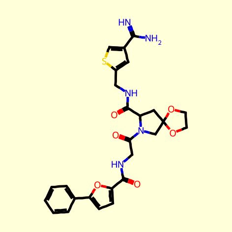 N=C(N)c1csc(CNC(=O)C2CC3(CN2C(=O)CNC(=O)c2ccc(-c4ccccc4)o2)OCCO3)c1